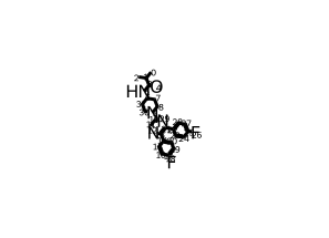 CC(C)C(=O)NC1CCN(c2cnc(-c3ccc(F)cc3)c(-c3ccc(F)cc3)n2)CC1